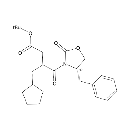 CC(C)(C)OC(=O)CC(CC1CCCC1)C(=O)N1C(=O)OC[C@@H]1Cc1ccccc1